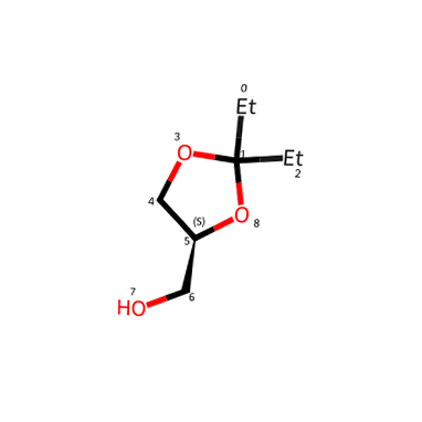 CCC1(CC)OC[C@H](CO)O1